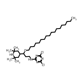 CCCCCCCCCCCCCCCCCCOC(CCNc1nc(Cl)nc(Cl)n1)C1CC(C)(C)NC(C)(C)C1